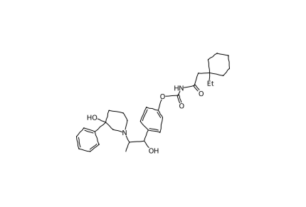 CCC1(CC(=O)NC(=O)Oc2ccc(C(O)C(C)N3CCCC(O)(c4ccccc4)C3)cc2)CCCCC1